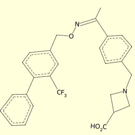 C/C(=N/OCc1ccc(-c2ccccc2)c(C(F)(F)F)c1)c1ccc(CN2CC(C(=O)O)C2)cc1